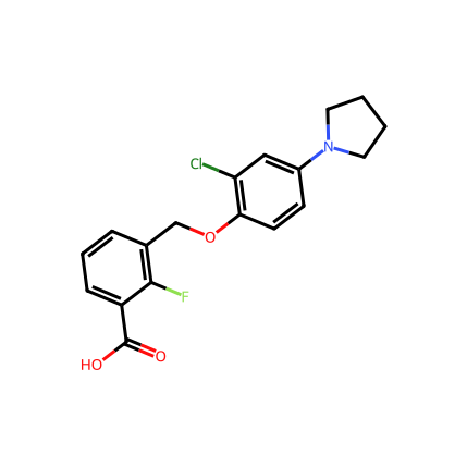 O=C(O)c1cccc(COc2ccc(N3CCCC3)cc2Cl)c1F